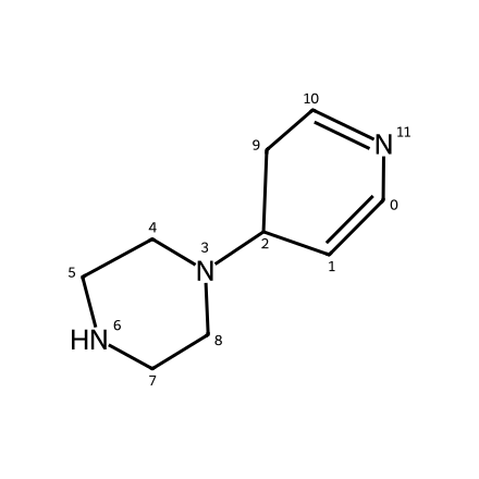 C1=CC(N2CCNCC2)CC=N1